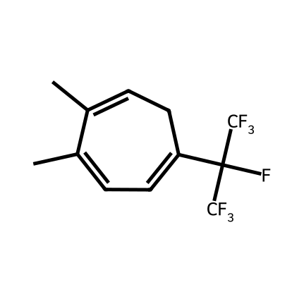 CC1=CC=C(C(F)(C(F)(F)F)C(F)(F)F)CC=C1C